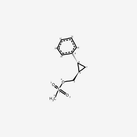 CS(=O)(=O)OC[C@@H]1C[C@H]1c1ccccc1